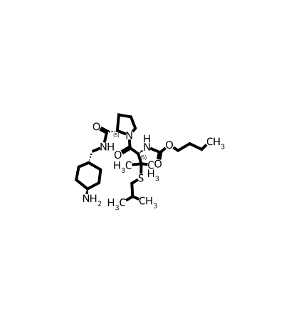 CCCCOC(=O)N[C@@H](C(=O)N1CCC[C@H]1C(=O)NC[C@H]1CC[C@H](N)CC1)C(C)(C)SCC(C)C